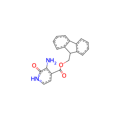 Nc1c(C(=O)OCC2c3ccccc3-c3ccccc32)cc[nH]c1=O